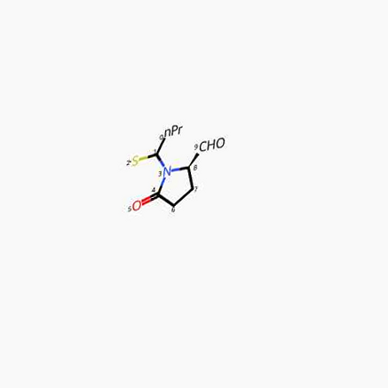 CCCC([S])N1C(=O)CC[C@@H]1C=O